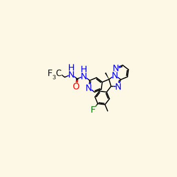 Cc1cc(C2N=C3C=CC=NN3[C@@]2(C)c2ccnc(NC(=O)NCC(F)(F)F)c2)ccc1F